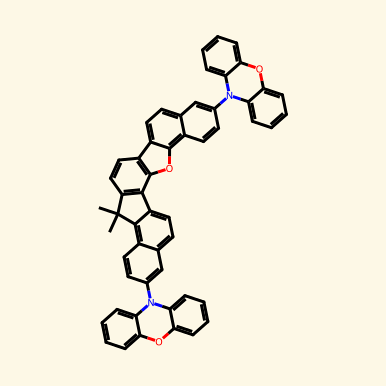 CC1(C)c2ccc3c(oc4c5ccc(N6c7ccccc7Oc7ccccc76)cc5ccc34)c2-c2ccc3cc(N4c5ccccc5Oc5ccccc54)ccc3c21